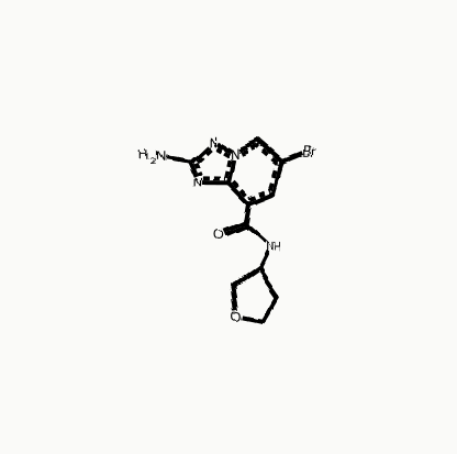 Nc1nc2c(C(=O)NC3CCOC3)cc(Br)cn2n1